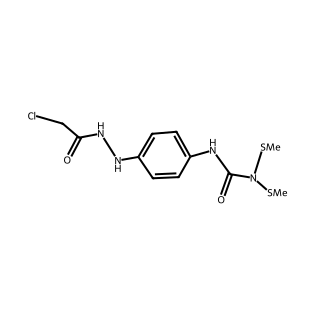 CSN(SC)C(=O)Nc1ccc(NNC(=O)CCl)cc1